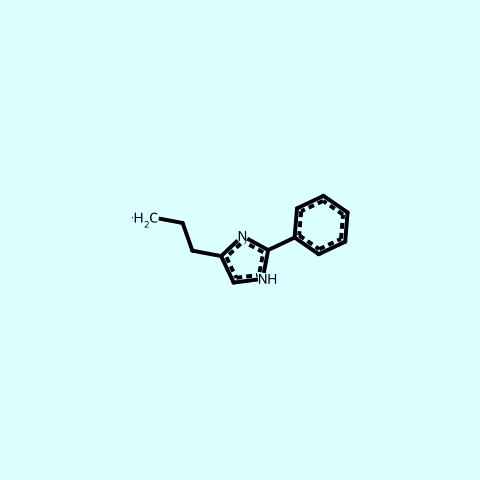 [CH2]CCc1c[nH]c(-c2ccccc2)n1